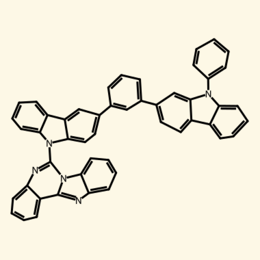 c1ccc(-n2c3ccccc3c3ccc(-c4cccc(-c5ccc6c(c5)c5ccccc5n6-c5nc6ccccc6c6nc7ccccc7n56)c4)cc32)cc1